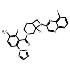 Cc1ccc(-n2nccn2)c(C(=O)N2CCC3CN(c4cnc5cccc(F)c5n4)[C@@H]3C2)c1F